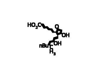 CCCC[C@H](C)C[C@H](O)/C=C/[C@H]1[C@H](O)CC(=O)[C@@H]1CCCCC=CC(=O)O